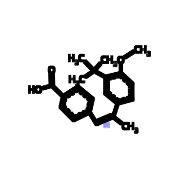 COc1ccc(/C(C)=C\c2ccc(C(=O)O)cc2)cc1C(C)(C)C